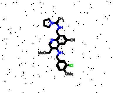 COCc1cnc2c(CNC(C)N3CCCC3)cc(C#N)cc2c1NCc1ccc(OC)c(Cl)c1